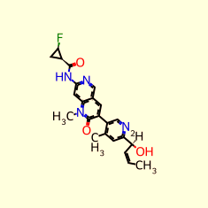 [2H][C@](O)(/C=C\C)c1cc(C)c(-c2cc3cnc(NC(=O)[C@H]4C[C@H]4F)cc3n(C)c2=O)cn1